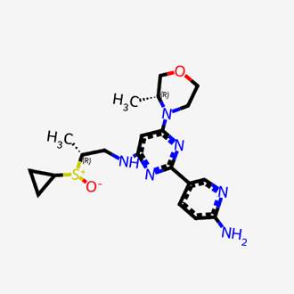 C[C@@H]1COCCN1c1cc(NC[C@@H](C)[S+]([O-])C2CC2)nc(-c2ccc(N)nc2)n1